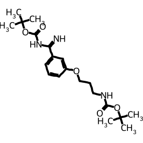 CC(C)(C)OC(=O)NCCCOc1cccc(C(=N)NC(=O)OC(C)(C)C)c1